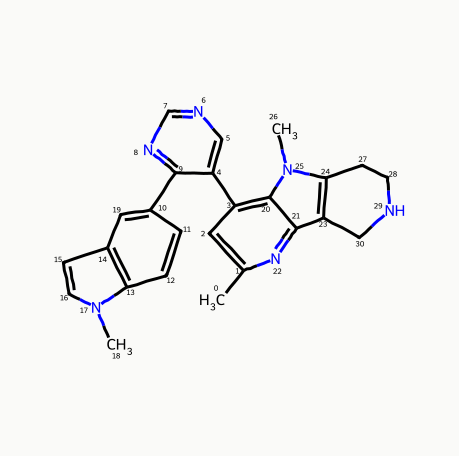 Cc1cc(-c2cncnc2-c2ccc3c(ccn3C)c2)c2c(n1)c1c(n2C)CCNC1